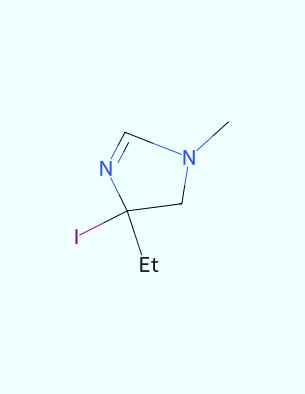 CCC1(I)CN(C)C=N1